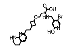 O=C(O)[C@@H](CCOC1CC(CCc2ccc3c(n2)NCCC3)C1)NCc1cc(O)ncc1Br